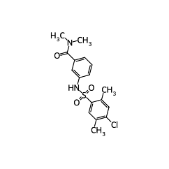 Cc1cc(S(=O)(=O)Nc2cccc(C(=O)N(C)C)c2)c(C)cc1Cl